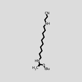 C=C(NCCCCCCCCCCNCCC#N)OC(C)(C)C